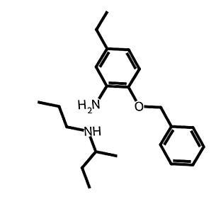 CCCNC(C)CC.CCc1ccc(OCc2ccccc2)c(N)c1